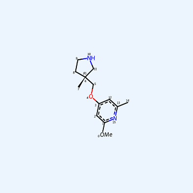 COc1cc(OC[C@]2(C)CCNC2)cc(C)n1